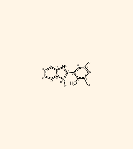 Cc1cc(C)c(O)c(-c2nc3ccccc3n2C)c1